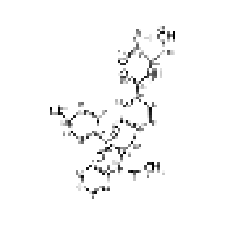 CC[C@@H](c1ccccc1)N(Cc1ccc(C(=O)NC(CO)C(=O)O)cc1)S(=O)(=O)c1ccc(Cl)cc1